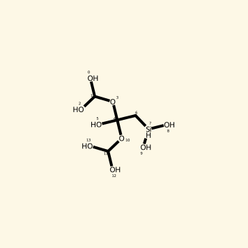 OC(O)OC(O)(C[SiH](O)O)OC(O)O